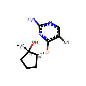 C[C@]1(O)CCC[C@H]1Oc1nc(N)ncc1C#N